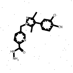 Cc1nn(Cc2ccc(C(=O)NN)nc2)c(C)c1-c1ccc(C#N)c(Cl)c1